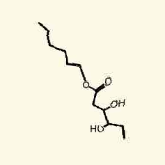 CCCCCCOC(=O)CC(O)C(O)CC